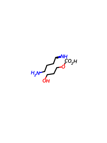 N=CCCCN.O=C(O)OCCCO